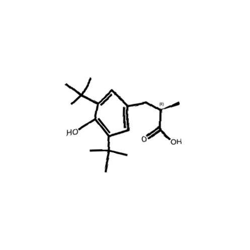 C[C@H](Cc1cc(C(C)(C)C)c(O)c(C(C)(C)C)c1)C(=O)O